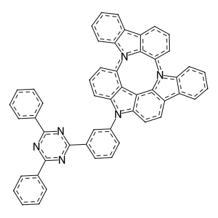 c1ccc(-c2nc(-c3ccccc3)nc(-c3cccc(-n4c5cccc6c5c5c4ccc4c7ccccc7n(c7cccc8c9ccccc9n6c87)c45)c3)n2)cc1